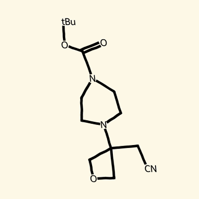 CC(C)(C)OC(=O)N1CCN(C2(CC#N)COC2)CC1